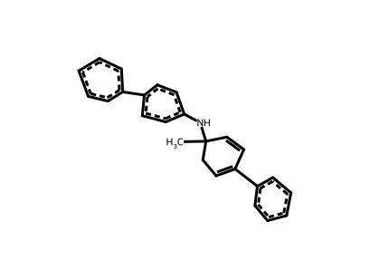 CC1(Nc2ccc(-c3ccccc3)cc2)C=CC(c2ccccc2)=CC1